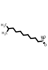 CC(C)CCCCCCCC[PH](=O)O